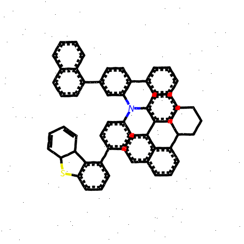 C1=CC2Sc3cccc(-c4ccc(N(c5cc(-c6cccc7ccccc67)ccc5-c5ccccc5)c5ccccc5-c5cccc6cccc(C7CCCCC7)c56)cc4)c3C2C=C1